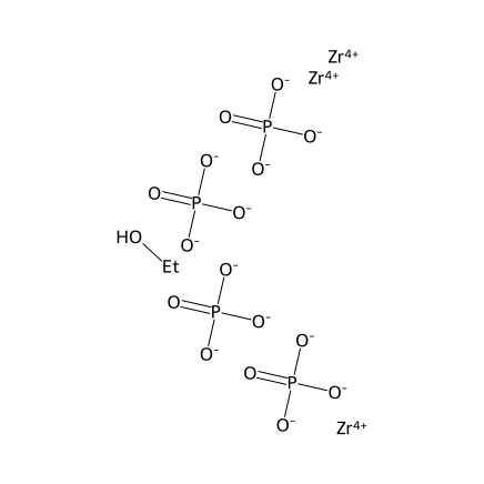 CCO.O=P([O-])([O-])[O-].O=P([O-])([O-])[O-].O=P([O-])([O-])[O-].O=P([O-])([O-])[O-].[Zr+4].[Zr+4].[Zr+4]